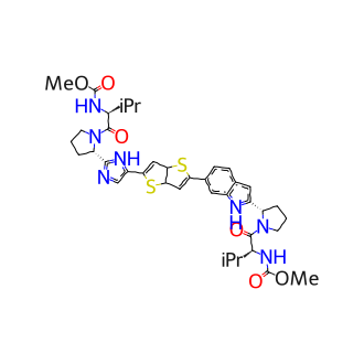 COC(=O)N[C@H](C(=O)N1CCC[C@H]1c1cc2ccc(C3=CC4SC(c5cnc([C@@H]6CCCN6C(=O)[C@@H](NC(=O)OC)C(C)C)[nH]5)=CC4S3)cc2[nH]1)C(C)C